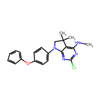 CNc1nc(Cl)nc2c1C(C)(C)CN2c1ccc(Oc2ccccc2)cc1